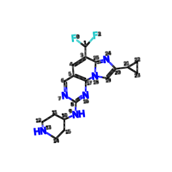 FC(F)c1cc2cnc(NC3CCNCC3)nc2n2cc(C3CC3)nc12